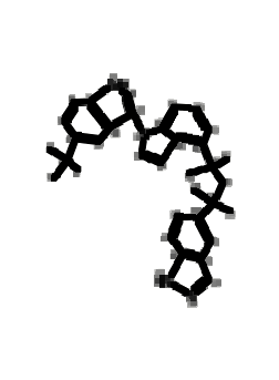 CC(C)(C)c1ccc2[nH]cc(-n3ccc4c(C(C)(C)CC(C)(C)c5ccc6[nH]ncc6c5)cccc43)c2c1